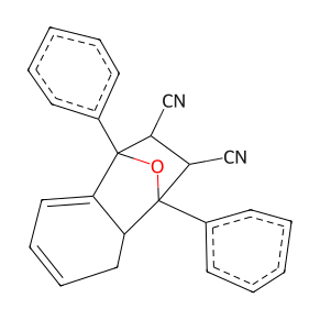 N#CC1C(C#N)C2(c3ccccc3)OC1(c1ccccc1)C1=CC=CCC12